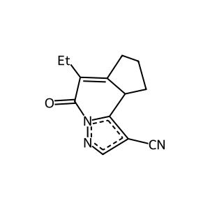 CCC1=C2CCCC2c2c(C#N)cnn2C1=O